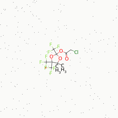 CC1(C)OC(OC(=O)CCl)(C(F)(F)F)OC1(C(F)(F)F)C(F)(F)F